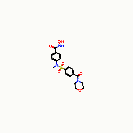 CN(c1ccc(C(=O)NO)cc1)S(=O)(=O)c1ccc(C(=O)N2CCOCC2)cc1